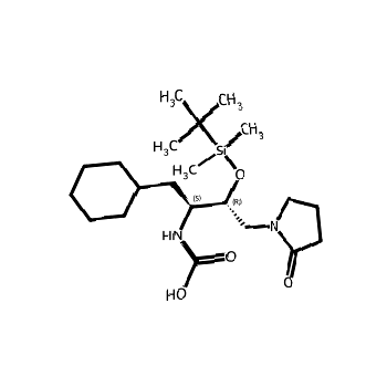 CC(C)(C)[Si](C)(C)O[C@H](CN1CCCC1=O)[C@H](CC1CCCCC1)NC(=O)O